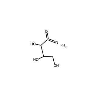 O=P(=O)C(O)C(O)CO.P